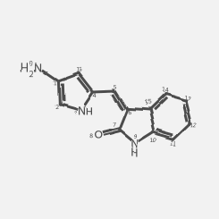 Nc1c[nH]c(/C=C2\C(=O)Nc3ccccc32)c1